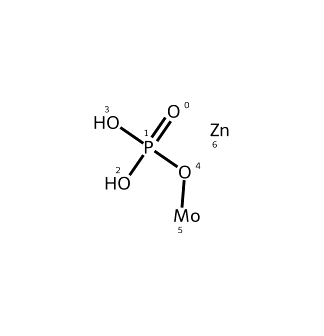 O=P(O)(O)[O][Mo].[Zn]